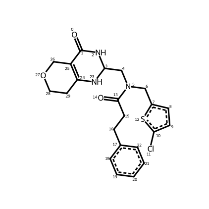 O=C1NC(CN(Cc2ccc(Cl)s2)C(=O)CCc2ccccc2)NC2=C1COCC2